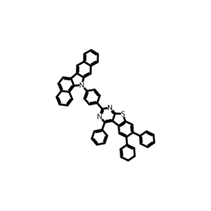 C1=CC(c2cc3c(cc2-c2ccccc2)sc2nc(-c4ccc(-n5c6cc7ccccc7cc6c6ccc7ccccc7c65)cc4)nc(-c4ccccc4)c23)=CCC1